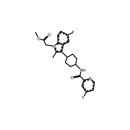 COC(=O)Cn1c(C)c(C2CCC(NC(=O)c3cc(F)ccn3)CC2)c2cc(F)ccc21